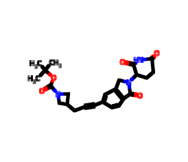 CC(C)(C)OC(=O)N1CC(CC#Cc2ccc3c(c2)CN(C2CCC(=O)NC2=O)C3=O)C1